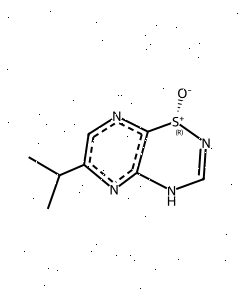 CC(C)c1cnc2c(n1)NC=N[S@@+]2[O-]